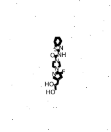 O=C(Nc1nc2ccccc2s1)N1CCN(c2ncc(C[C@@H](O)CO)cc2F)CC1